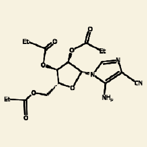 CCC(=O)OC[C@H]1O[C@@H](n2cnc(C#N)c2N)[C@H](OC(=O)CC)[C@@H]1OC(=O)CC